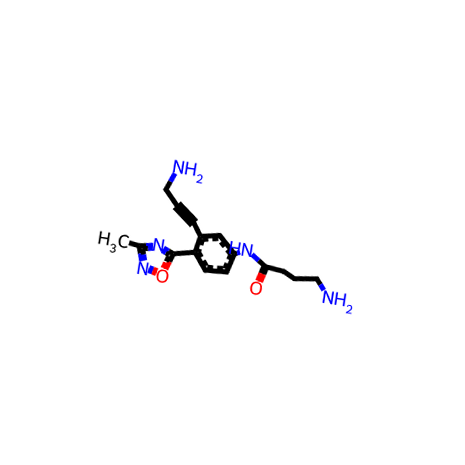 Cc1noc(-c2ccc(NC(=O)CCCN)cc2C#CCN)n1